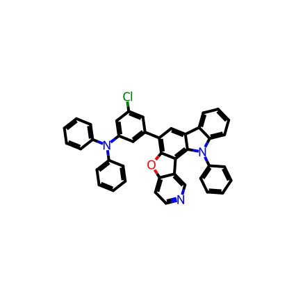 Clc1cc(-c2cc3c4ccccc4n(-c4ccccc4)c3c3c2oc2ccncc23)cc(N(c2ccccc2)c2ccccc2)c1